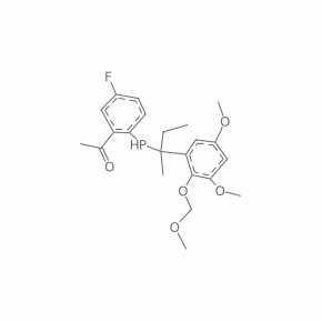 CCC(C)(Pc1ccc(F)cc1C(C)=O)c1cc(OC)cc(OC)c1OCOC